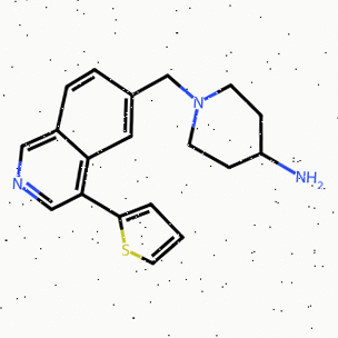 NC1CCN(Cc2ccc3cncc(-c4cccs4)c3c2)CC1